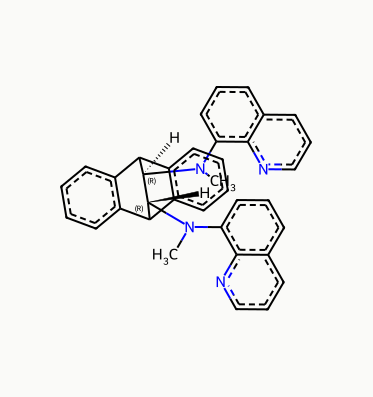 CN(c1cccc2cccnc12)[C@@H]1C2c3ccccc3C(c3ccccc32)[C@H]1N(C)c1cccc2cccnc12